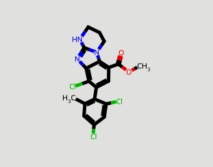 COC(=O)c1cc(-c2c(C)cc(Cl)cc2Cl)c(Cl)c2nc3n(c12)CCCN3